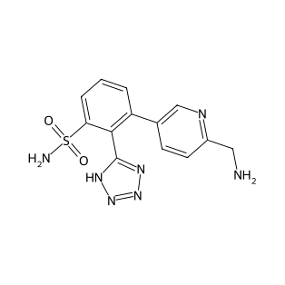 NCc1ccc(-c2cccc(S(N)(=O)=O)c2-c2nnn[nH]2)cn1